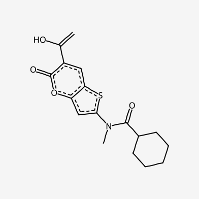 C=C(O)c1cc2sc(N(C)C(=O)C3CCCCC3)cc2oc1=O